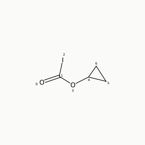 O=C(I)OC1CC1